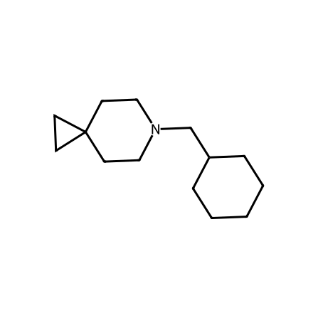 C1CCC(CN2CCC3(CC2)CC3)CC1